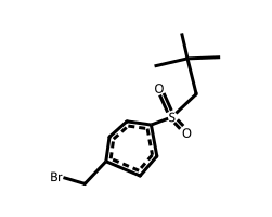 CC(C)(C)CS(=O)(=O)c1ccc(CBr)cc1